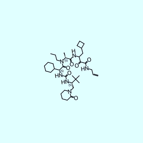 C=CCNC(=O)C(=O)C(CC1CCC1)NC(=O)[C@H](C)N(CCC)C(=O)[C@@H](NC(=O)N[C@H](CN1CCCCC1=O)C(C)(C)C)C1CCCCC1